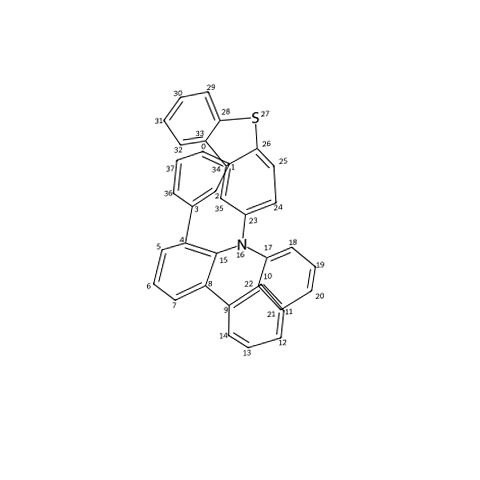 c1ccc(-c2cccc(-c3ccccc3)c2N(c2ccccc2)c2ccc3sc4ccccc4c3c2)cc1